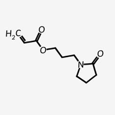 C=CC(=O)OCCCN1CCCC1=O